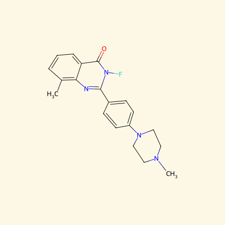 Cc1cccc2c(=O)n(F)c(-c3ccc(N4CCN(C)CC4)cc3)nc12